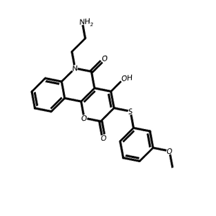 COc1cccc(Sc2c(O)c3c(=O)n(CCN)c4ccccc4c3oc2=O)c1